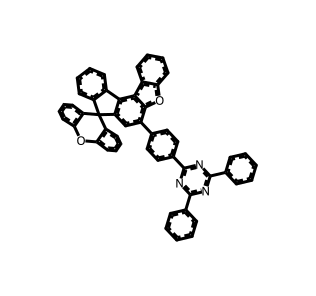 c1ccc(-c2nc(-c3ccccc3)nc(-c3ccc(-c4cc5c(c6c4oc4ccccc46)-c4ccccc4C54c5ccccc5Oc5ccccc54)cc3)n2)cc1